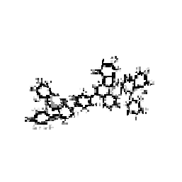 c1ccc(-c2nc(-n3c4ccccc4c4cc(-c5ccc(-c6ccc7c8ccccc8n(-c8ccccc8)c7c6)cc5)c5ccccc5c43)nc3ccccc23)cc1